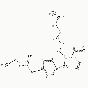 CCOC(=O)Cc1ccc(-c2cccc(C=O)c2OCOCCOC)cc1